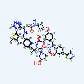 Cc1ncsc1-c1ccc([C@H](C)NC(=O)[C@@H]2C[C@@H](O)CN2C(=O)C(NC(=O)Cc2cccc(O[C@H]3C[C@H](NC(=O)C[C@@H]4N=C(c5ccc(Cl)cc5)c5c(sc(C)c5C)-n5c(C)nnc54)C3)c2)C(C)(C)C)cc1